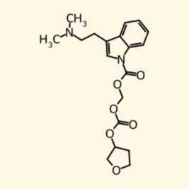 CN(C)CCc1cn(C(=O)OCOC(=O)OC2CCOC2)c2ccccc12